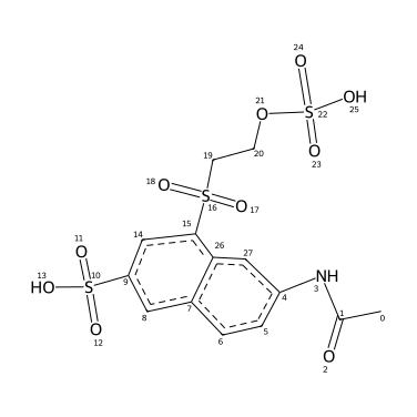 CC(=O)Nc1ccc2cc(S(=O)(=O)O)cc(S(=O)(=O)CCOS(=O)(=O)O)c2c1